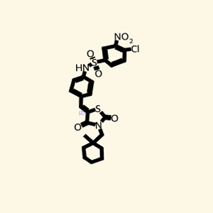 CC1(CN2C(=O)S/C(=C\c3ccc(NS(=O)(=O)c4ccc(Cl)c([N+](=O)[O-])c4)cc3)C2=O)CCCCC1